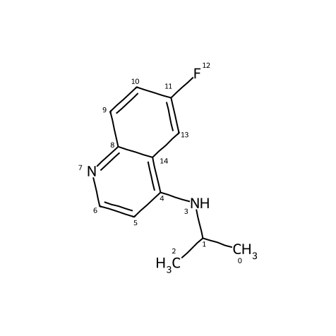 CC(C)Nc1ccnc2ccc(F)cc12